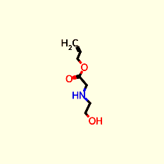 C=CCOC(=O)CNCCO